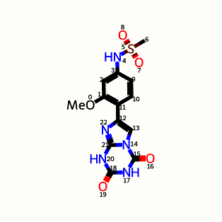 COc1cc(NS(C)(=O)=O)ccc1-c1cn2c(=O)[nH]c(=O)[nH]c2n1